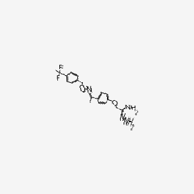 C/C(=N\OCc1ccc(C(C)(F)F)cc1)c1ccc(OC/C(N)=N/N)cc1